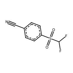 N#Cc1ccc(S(=O)(=O)C(F)F)cc1